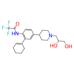 O=C(Nc1ccc(C2CCN(CC(O)CO)CC2)cc1C1=CCCCC1)C(F)(F)F